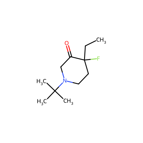 CCC1(F)CCN(C(C)(C)C)CC1=O